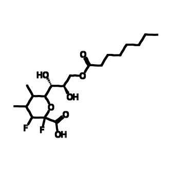 CCCCCCCC(=O)OC[C@@H](O)[C@@H](O)C1OC(F)(C(=O)O)C(F)C(C)C1C